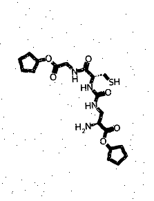 N[C@@H](CNC(=O)N[C@@H](CS)C(=O)NCC(=O)OC1CCCC1)C(=O)OC1CCCC1